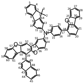 CC1(C)c2ccccc2-c2ccc(N(c3ccc(-c4cccc5c4oc4ccccc45)cc3)c3ccc4oc5c(-c6ccc7ccccc7c6)c6c(cc5c4c3)oc3ccccc36)cc21